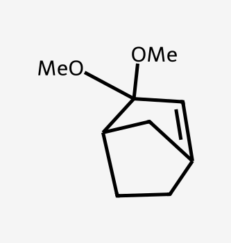 COC1(OC)C=C2CCC1C2